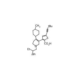 CCCC(CC)CN1CCC(C2CCC(C)CC2)=C(c2cc(C#CC(C)(C)C)sc2C(=O)O)C1